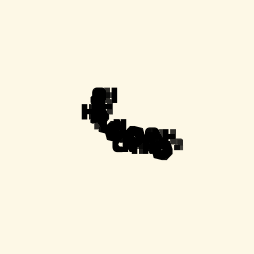 N#Cc1cc(CN2C[C@@H]3C(CO)[C@@H]3C2)cnc1-c1ccc(C(=O)Nc2ccccc2N)cc1